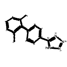 Cc1cccc(C)c1-c1ccc(-c2nnn[nH]2)cc1